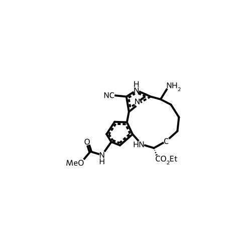 CCOC(=O)[C@H]1CCCCC(N)c2nc(c(C#N)[nH]2)-c2ccc(NC(=O)OC)cc2N1